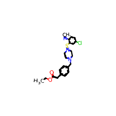 C=Nc1ccc(Cl)cc1SN1CCN(Cc2ccc(CC(=O)OCC)cc2)CC1